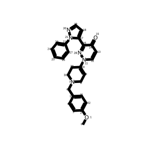 COc1ccc(CN2CC=C(n3ccc(=O)c(-c4ccnn4-c4ccccc4)n3)CC2)cc1